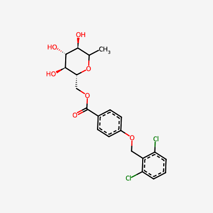 CC1O[C@H](COC(=O)c2ccc(OCc3c(Cl)cccc3Cl)cc2)[C@@H](O)[C@H](O)[C@H]1O